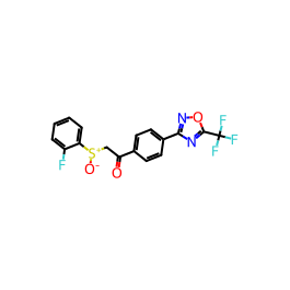 O=C(C[S+]([O-])c1ccccc1F)c1ccc(-c2noc(C(F)(F)F)n2)cc1